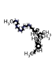 CC/C=C\C/C=C\C/C=C\C/C=C\C/C=C\CCCC(=O)N[C@@H](CC(C)C)C(=O)Nc1nc2c(s1)C[C@H](NCCC)CC2